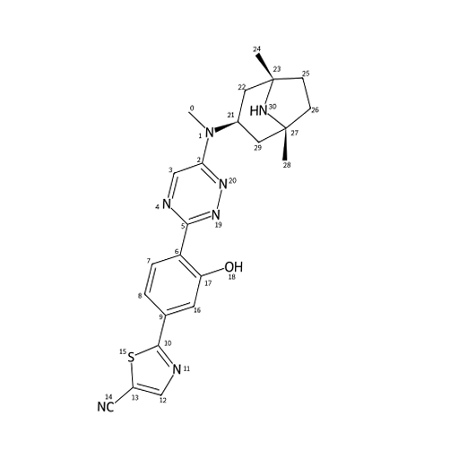 CN(c1cnc(-c2ccc(-c3ncc(C#N)s3)cc2O)nn1)[C@H]1C[C@]2(C)CC[C@](C)(C1)N2